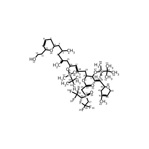 C=C(CC(C)CC1CC=CC(CCO)O1)CC(C=CCC(OC(=O)CP(=O)(CC(F)(F)F)CC(F)(F)F)C(C=CC1CC(C)=CCO1)O[Si](C)(C)C(C)(C)C)O[Si](C)(C)C(C)(C)C